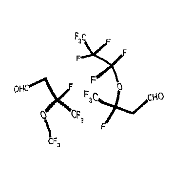 O=CCC(F)(OC(F)(F)C(F)(F)C(F)(F)F)C(F)(F)F.O=CCC(F)(OC(F)(F)F)C(F)(F)F